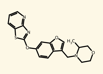 CC1COCCN1Cc1coc2cc(Oc3nc4ncccc4s3)ccc12